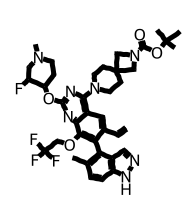 C=Cc1cc2c(N3CCC4(CC3)CN(C(=O)OC(C)(C)C)C4)nc(OC3CCN(C)CC3F)nc2c(OCC(F)(F)F)c1-c1c(C)ccc2[nH]ncc12